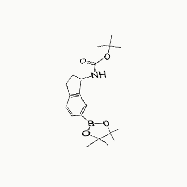 CC(C)(C)OC(=O)NC1CCc2ccc(B3OC(C)(C)C(C)(C)O3)cc21